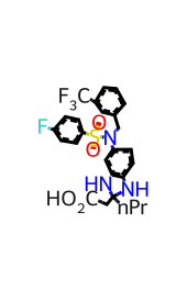 CCCC1(CC(=O)O)Nc2ccc(N(Cc3cccc(C(F)(F)F)c3)S(=O)(=O)c3ccc(F)cc3)cc2N1